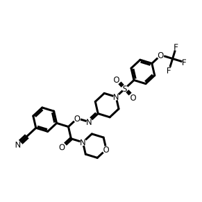 N#Cc1cccc(C(ON=C2CCN(S(=O)(=O)c3ccc(OC(F)(F)F)cc3)CC2)C(=O)N2CCOCC2)c1